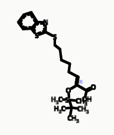 CC(C)(C)[Si](C)(C)O/C(=C\CCCCCSc1nc2ccccc2s1)C(=O)O